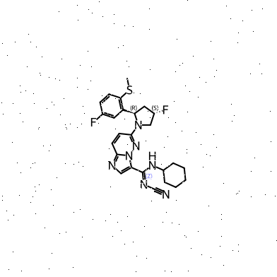 CSc1ccc(F)cc1[C@H]1C[C@H](F)CN1c1ccc2ncc(/C(=N/C#N)NC3CCCCC3)n2n1